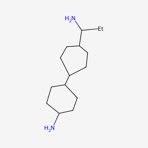 CCC(N)C1CCC(C2CCC(N)CC2)CC1